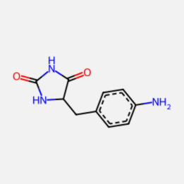 Nc1ccc(CC2NC(=O)NC2=O)cc1